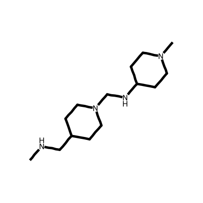 CNCC1CCN(CNC2CCN(C)CC2)CC1